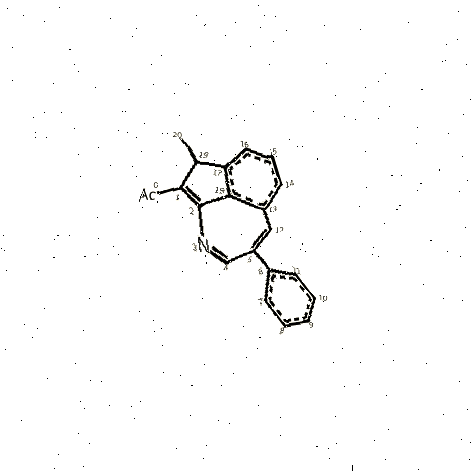 CC(=O)C1=C2N=CC(c3ccccc3)=Cc3cccc(c32)C1C